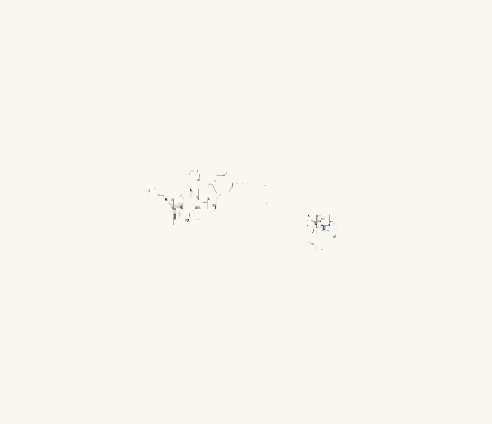 O=C1CCC(n2c(C(F)(F)F)nc3cc(CCCCCCCCNC45CC6CC(CC(C6)C4)C5)ccc3c2=O)C(=O)N1